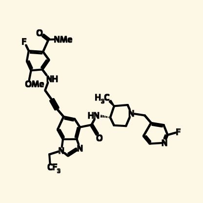 CNC(=O)c1cc(NCC#Cc2cc(C(=O)N[C@H]3CCN(Cc4ccnc(F)c4)C[C@@H]3C)c3ncn(CC(F)(F)F)c3c2)c(OC)cc1F